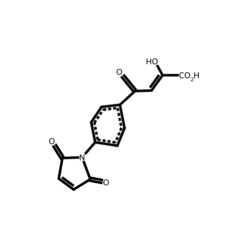 O=C(O)C(O)=CC(=O)c1ccc(N2C(=O)C=CC2=O)cc1